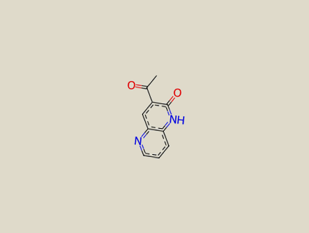 CC(=O)c1cc2ncccc2[nH]c1=O